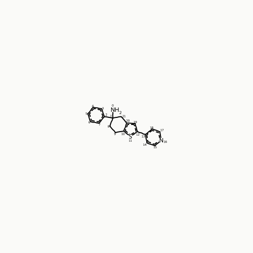 NC1(c2ccccc2)CCc2sc(-c3ccncc3)cc2C1